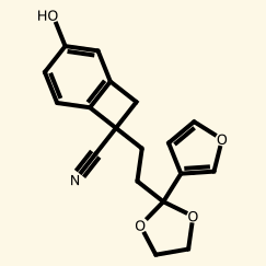 N#CC1(CCC2(c3ccoc3)OCCO2)Cc2cc(O)ccc21